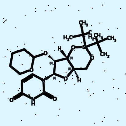 CC(C)(C)[Si]1(C(C)(C)C)OC[C@H]2O[C@@H](n3ccc(=O)[nH]c3=O)[C@H](OC3CCCCO3)[C@@H]2O1